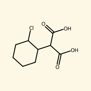 O=C(O)C(C(=O)O)C1CCCCC1Cl